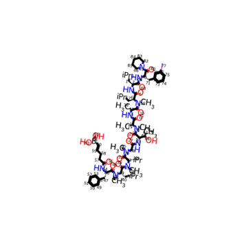 CC(C)C[C@H](NC(=O)[C@H](CC(C)C)N(C)C(=O)[C@H](C)NC(=O)[C@H](C)N(C)C(=O)[C@@H](NC(=O)CN(C)C(=O)[C@H](C(C)C)N(C)C(=O)[C@H](CC(C)C)N(C)C(=O)[C@H](Cc1ccccc1)NC(=O)CC/C=C/B(O)O)[C@@H](C)O)C(=O)N[C@@H](Cc1cccc(I)c1)C(=O)N1CCCCC1